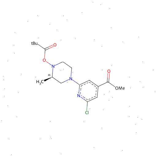 COC(=O)c1cc(Cl)nc(N2CCN(OC(=O)C(C)(C)C)[C@H](C)C2)c1